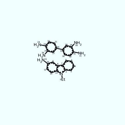 CCn1c2ccccc2c2cc(N)ccc21.Nc1ccc(-c2ccc(N)c(N)c2)cc1N